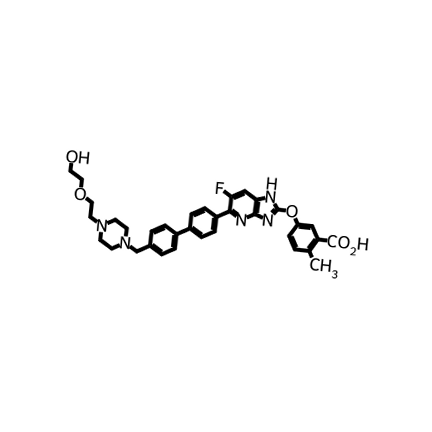 Cc1ccc(Oc2nc3nc(-c4ccc(-c5ccc(CN6CCN(CCOCCO)CC6)cc5)cc4)c(F)cc3[nH]2)cc1C(=O)O